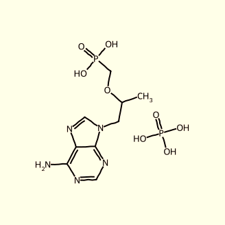 CC(Cn1cnc2c(N)ncnc21)OCP(=O)(O)O.O=P(O)(O)O